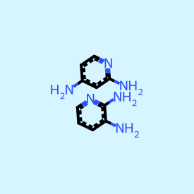 Nc1cccnc1N.Nc1ccnc(N)c1